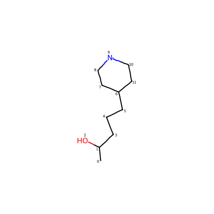 CC(O)CCCC1CC[N]CC1